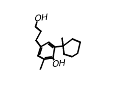 Cc1cc(CCCO)cc(C2(C)CCCCC2)c1O